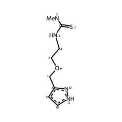 CNC(=S)NCCOCc1cc[nH]n1